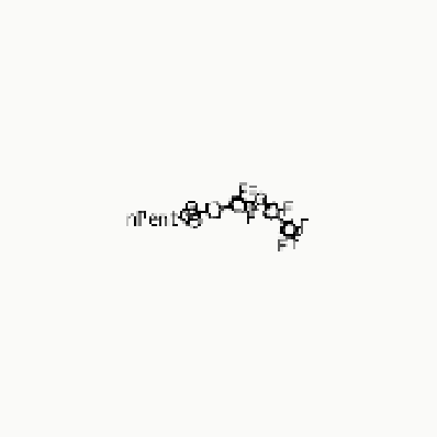 CCCCCC12COC(C3CCC(c4cc(F)c(C(F)(F)Oc5ccc(-c6cc(F)c(F)c(F)c6)c(F)c5)c(F)c4)CC3)(OC1)OC2